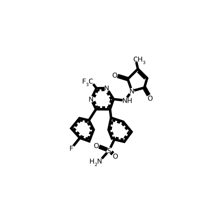 CC1=CC(=O)N(Nc2nc(C(F)(F)F)nc(-c3ccc(F)cc3)c2-c2cccc(S(N)(=O)=O)c2)C1=O